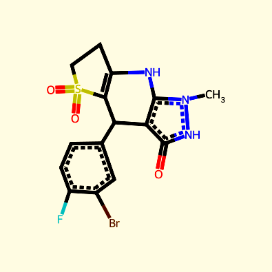 Cn1[nH]c(=O)c2c1NC1=C(C2c2ccc(F)c(Br)c2)S(=O)(=O)CC1